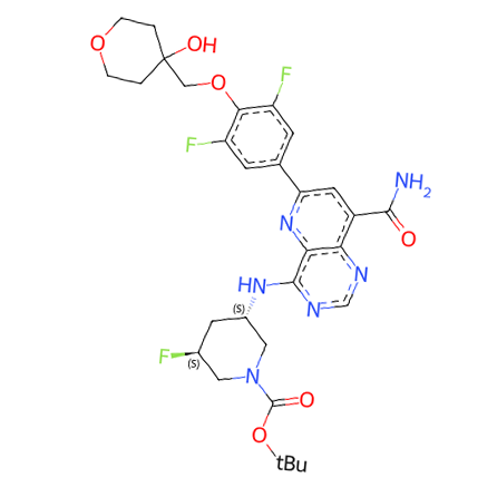 CC(C)(C)OC(=O)N1C[C@@H](F)C[C@H](Nc2ncnc3c(C(N)=O)cc(-c4cc(F)c(OCC5(O)CCOCC5)c(F)c4)nc23)C1